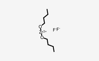 CCCC[O][Zr+2][O]CCCC.[F-].[F-]